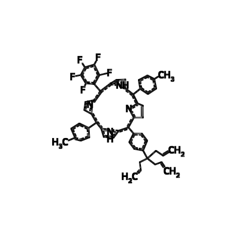 C=CCC(CC=C)(CC=C)c1ccc(-c2c3nc(c(-c4ccc(C)cc4)c4ccc([nH]4)c(-c4c(F)c(F)c(F)c(F)c4F)c4nc(c(-c5ccc(C)cc5)c5ccc2[nH]5)C=C4)C=C3)cc1